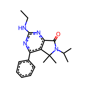 CCNc1nc2c(c(-c3ccccc3)n1)C(C)(C)N(C(C)C)C2=O